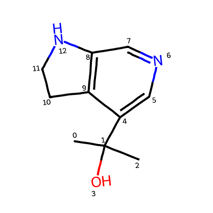 CC(C)(O)c1cncc2c1CCN2